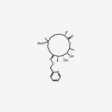 COC1(C)CCC[C@@H](C)C(=O)OC(C)[C@@H](O)[C@H](O)[C@@H](C)/C(=N\OCc2ccccn2)CC1